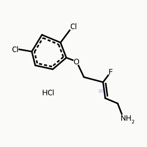 Cl.NC/C=C(\F)COc1ccc(Cl)cc1Cl